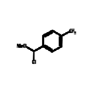 COC(Cl)c1ccc(C(F)(F)F)cc1